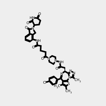 Cc1sc2c(c1C)C(c1ccc(Cl)cc1)=N[C@@H](CC(=O)NN1CCN(C(=O)CCCC(=O)Nc3cccc4c3CN(C3CCC(=O)NC3=O)C4=O)CC1)c1nnc(C)n1-2